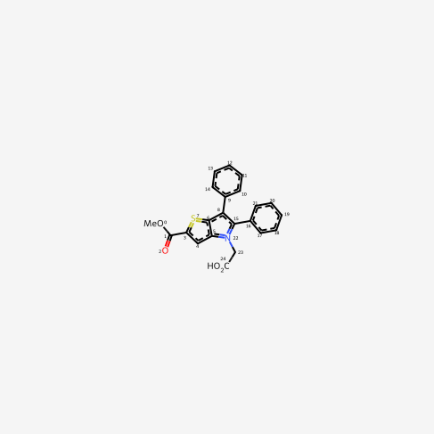 COC(=O)c1cc2c(s1)c(-c1ccccc1)c(-c1ccccc1)n2CC(=O)O